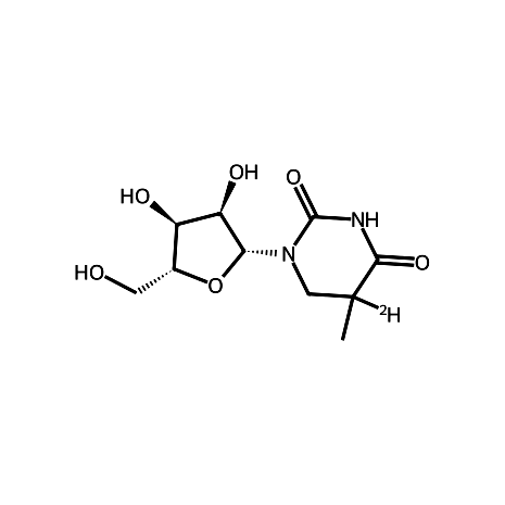 [2H]C1(C)CN([C@@H]2O[C@H](CO)[C@@H](O)[C@H]2O)C(=O)NC1=O